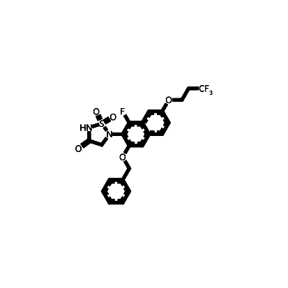 O=C1CN(c2c(OCc3ccccc3)cc3ccc(OCCC(F)(F)F)cc3c2F)S(=O)(=O)N1